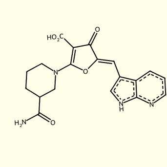 NC(=O)C1CCCN(C2=C(C(=O)O)C(=O)/C(=C/c3c[nH]c4ncccc34)O2)C1